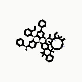 C=C/C1=C(\C(C)N2c3cc4c(cc3B3C5=CCC(Nc6ccccc6)C=C5N(c5ccccc5C=C)c5cc(-c6ccccc6)cc2c53)C(C)(C)c2ccccc2C4(C)C)C(C)(C)C/C=C\C=C/C(=C)C1(C)C